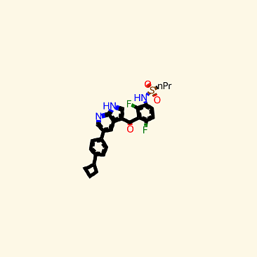 CCCS(=O)(=O)Nc1ccc(F)c(C(=O)c2c[nH]c3ncc(-c4ccc(C5CCC5)cc4)cc23)c1F